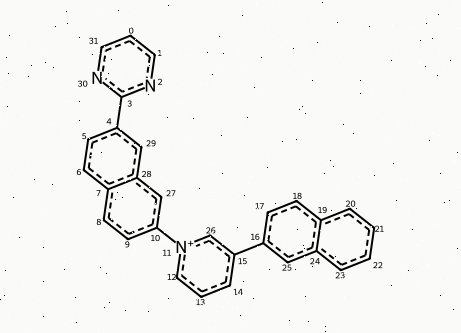 c1cnc(-c2ccc3ccc(-[n+]4cccc(-c5ccc6ccccc6c5)c4)cc3c2)nc1